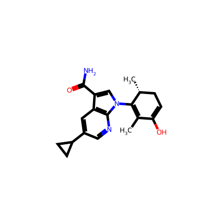 CC1=C(n2cc(C(N)=O)c3cc(C4CC4)cnc32)[C@H](C)CC=C1O